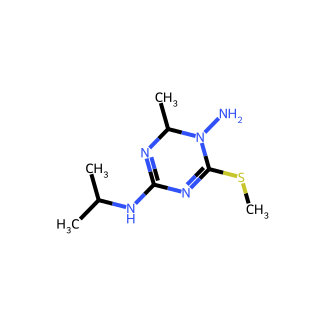 CSC1=NC(NC(C)C)=NC(C)N1N